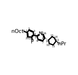 CCCCCCCCc1ccc(-c2ccc([C@H]3CC[C@H](CCC)CC3)cn2)c(F)c1